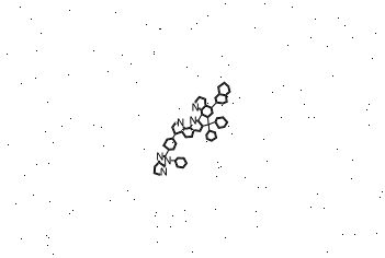 c1ccc(-n2c(-c3ccc(-c4ccnc5c4ccc4cc6c(nc45)-c4c(cc(-c5ccc7ccccc7c5)c5cccnc45)C6(c4ccccc4)c4ccccc4)cc3)nc3cccnc32)cc1